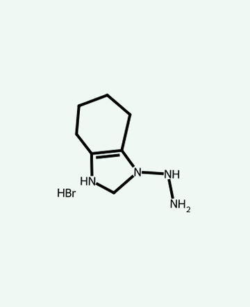 Br.NNN1CNC2=C1CCCC2